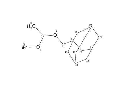 CC(C)OC(C)OCC12CC3CC(CC(C3)C1)C2